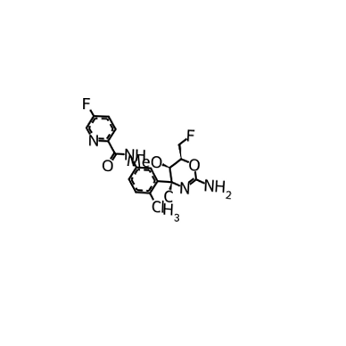 CO[C@H]1[C@@H](CF)OC(N)=N[C@]1(C)c1cc(NC(=O)c2ccc(F)cn2)ccc1Cl